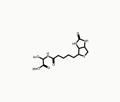 COC(=O)C(NC(=O)CCCCC1SCC2NC(=O)NC21)OC(C)=O